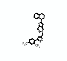 FC(F)(F)c1ccc(-c2cc(Cn3cc4nc(C5CCCc6ccccc65)nc-4cn3)on2)c(C(F)(F)F)c1